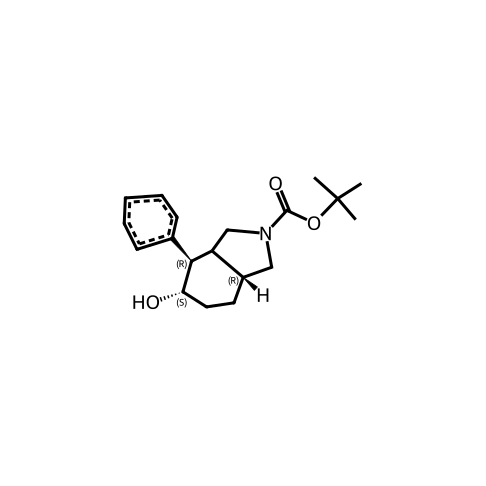 CC(C)(C)OC(=O)N1CC2[C@@H](CC[C@H](O)[C@H]2c2ccccc2)C1